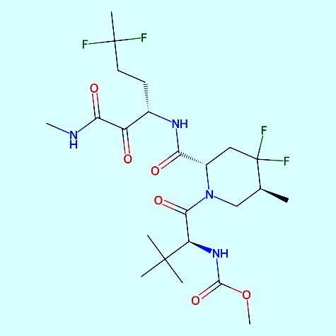 CNC(=O)C(=O)[C@H](CCC(C)(F)F)NC(=O)[C@@H]1CC(F)(F)[C@@H](C)CN1C(=O)[C@@H](NC(=O)OC)C(C)(C)C